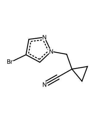 N#CC1(Cn2cc(Br)cn2)CC1